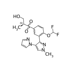 C[C@@H](CO)S(=O)(=O)c1ccc(OC(F)F)c(-c2nn(C)cc2-n2cccn2)c1